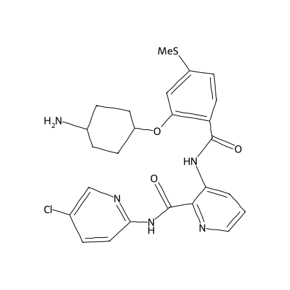 CSc1ccc(C(=O)Nc2cccnc2C(=O)Nc2ccc(Cl)cn2)c(OC2CCC(N)CC2)c1